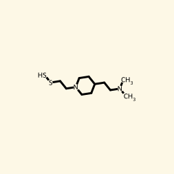 CN(C)CCC1CCN(CCSS)CC1